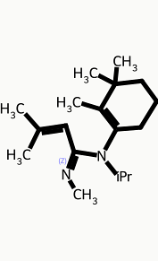 C/N=C(/C=C(C)C)N(C1=C(C)C(C)(C)CCC1)C(C)C